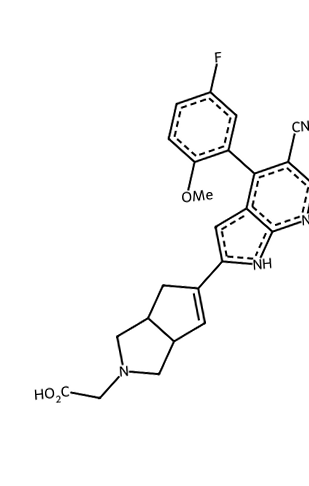 COc1ccc(F)cc1-c1c(C#N)cnc2[nH]c(C3=CC4CN(CC(=O)O)CC4C3)cc12